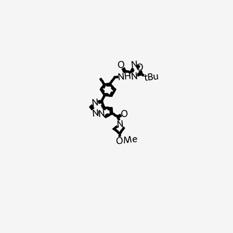 COC1CN(C(=O)c2cc3c(-c4ccc(CNC(=O)c5noc(C(C)(C)C)n5)c(C)c4)ncnn3c2)C1